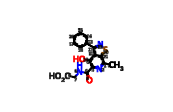 Cc1nc(C(=O)NCC(=O)O)c(O)c2c(-c3ccccc3)nsc12